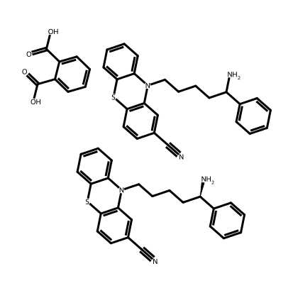 N#Cc1ccc2c(c1)N(CCCCC(N)c1ccccc1)c1ccccc1S2.N#Cc1ccc2c(c1)N(CCCC[C@@H](N)c1ccccc1)c1ccccc1S2.O=C(O)c1ccccc1C(=O)O